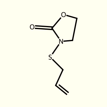 C=CCSN1CCOC1=O